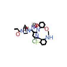 C=CC(=O)N1CCN(c2nc(=O)n3c4nc(c(Cl)cc24)-c2c(F)cccc2NCCOc2cccc(C(C)C)c2-3)[C@@H]2C[C@@H]21